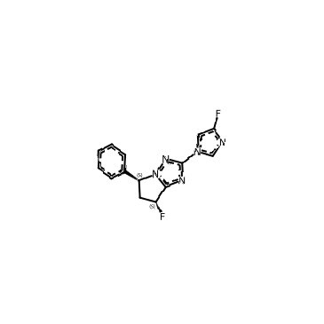 Fc1cn(-c2nc3n(n2)[C@H](c2ccccc2)C[C@@H]3F)cn1